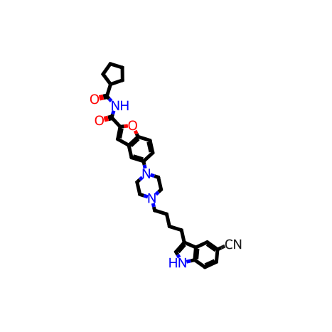 N#Cc1ccc2[nH]cc(CCCCN3CCN(c4ccc5oc(C(=O)NC(=O)C6CCCC6)cc5c4)CC3)c2c1